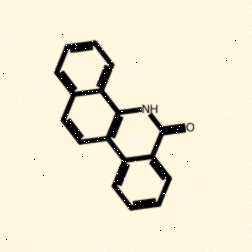 O=c1[nH]c2c3ccccc3ccc2c2ccccc12